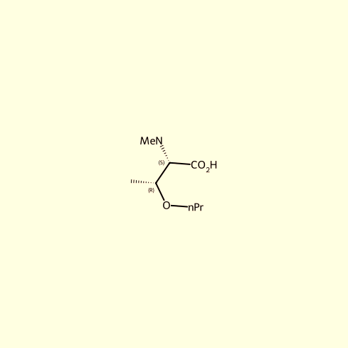 CCCO[C@H](C)[C@H](NC)C(=O)O